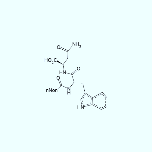 CCCCCCCCCC(=O)N[C@@H](Cc1c[nH]c2ccccc12)C(=O)N[C@H](CC(N)=O)C(=O)O